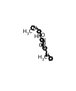 CC1CCCN(Cc2ccc(C(=O)Nc3ccc(OC(=O)N4CCC(CCN(C)Cc5ccccc5)CC4)nc3)cc2)C1